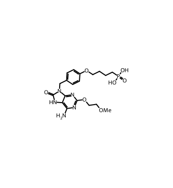 COCCOc1nc(N)c2[nH]c(=O)n(Cc3ccc(OCCCCP(=O)(O)O)cc3)c2n1